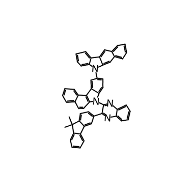 CC1(C)c2ccccc2-c2cc(-c3nc4ccccc4nc3-n3c4ccc(-n5c6ccccc6c6cc7ccccc7cc65)cc4c4c5ccccc5ccc43)ccc21